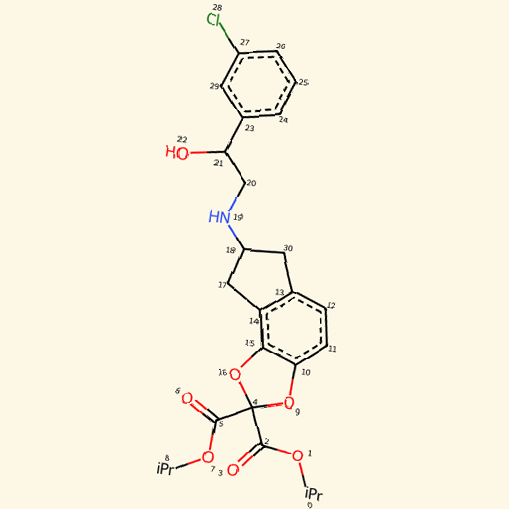 CC(C)OC(=O)C1(C(=O)OC(C)C)Oc2ccc3c(c2O1)CC(NCC(O)c1cccc(Cl)c1)C3